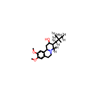 [2H]C1([2H])C(C([2H])([2H])C(C)(C([2H])([2H])[2H])C([2H])([2H])[2H])C(O)CC2c3cc(OC)c(OC)cc3CCN21